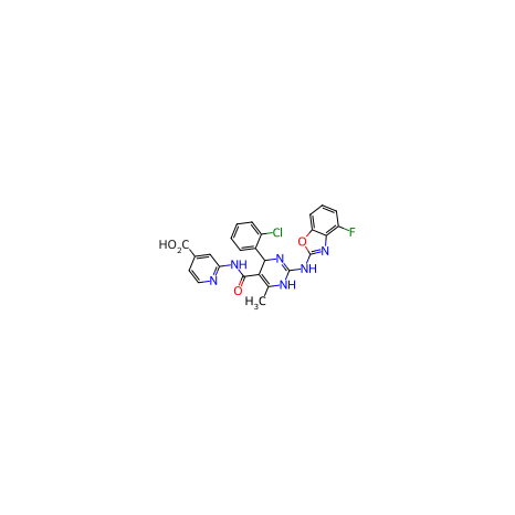 CC1=C(C(=O)Nc2cc(C(=O)O)ccn2)C(c2ccccc2Cl)N=C(Nc2nc3c(F)cccc3o2)N1